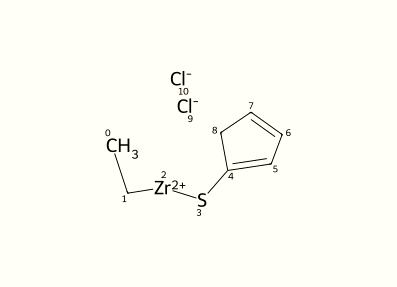 C[CH2][Zr+2][S]C1=CC=CC1.[Cl-].[Cl-]